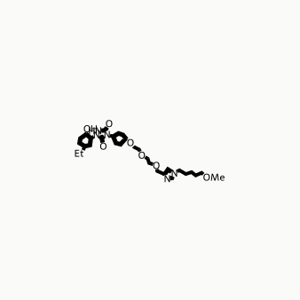 CCc1ccc(O)c(-n2[nH]c(=O)n(-c3ccc(OCCOCCOCc4cn(CCCCCOC)cn4)cc3)c2=O)c1